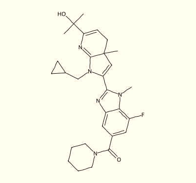 Cn1c(C2=CC3(C)CC=C(C(C)(C)O)N=C3N2CC2CC2)nc2cc(C(=O)N3CCCCC3)cc(F)c21